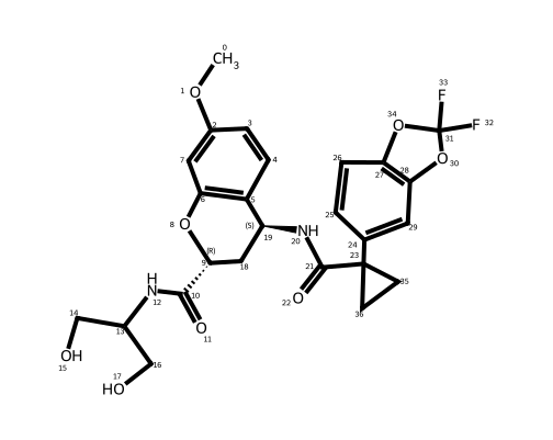 COc1ccc2c(c1)O[C@@H](C(=O)NC(CO)CO)C[C@@H]2NC(=O)C1(c2ccc3c(c2)OC(F)(F)O3)CC1